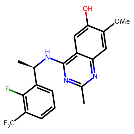 COc1cc2nc(C)nc(N[C@H](C)c3cccc(C(F)(F)F)c3F)c2cc1O